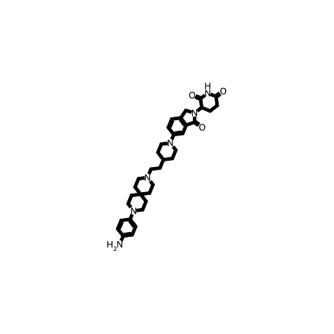 Nc1ccc(N2CCC3(CCN(CCC4CCN(c5ccc6c(c5)C(=O)N(C5CCC(=O)NC5=O)C6)CC4)CC3)CC2)cc1